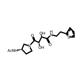 CC(=O)N[C@@H]1CCN(C(=O)[C@H](O)[C@@H](O)C(=O)NCCc2cccs2)C1